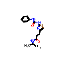 CC(C)NC(=O)CCc1csc(NC(=O)Nc2ccccc2)n1